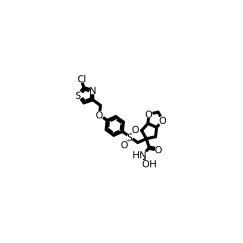 O=C(NO)C1(CS(=O)(=O)c2ccc(OCc3csc(Cl)n3)cc2)CC2OCOC2C1